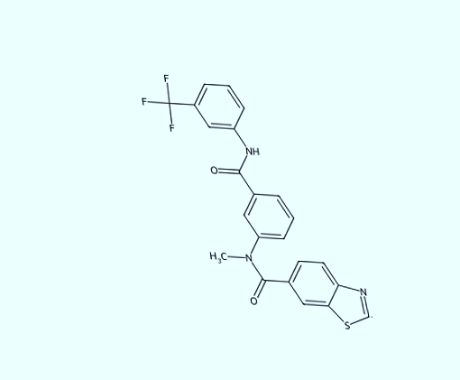 CN(C(=O)c1ccc2n[c]sc2c1)c1cccc(C(=O)Nc2cccc(C(F)(F)F)c2)c1